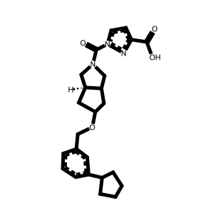 O=C(O)c1ccn(C(=O)N2CC3CC(OCc4cccc(C5CCCC5)c4)C[C@H]3C2)n1